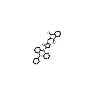 O=C1C(=Cc2ccc(N3c4ccccc4C(c4ccccc4)c4ccccc43)[se]2)C(=O)c2ccccc21